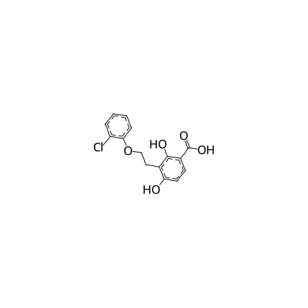 O=C(O)c1ccc(O)c(CCOc2ccccc2Cl)c1O